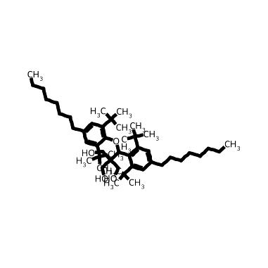 CCCCCCCCc1cc(C(C)(C)C)c(OC(c2c(C(C)(C)C)cc(CCCCCCCC)cc2C(C)(C)C)C(CO)(CO)CO)c(C(C)(C)C)c1